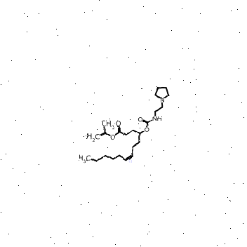 [CH2]C([CH2])OC(=O)CCC(CC/C=C\CCCCC)OC(=O)NCCN1CCCC1